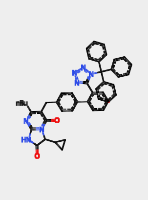 CCCCc1nc2n(c(=O)c1Cc1ccc(-c3ccccc3-c3nnnn3C(c3ccccc3)(c3ccccc3)c3ccccc3)cc1)C(C1CC1)C(=O)N2